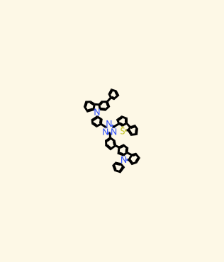 c1ccc(-c2ccc3c(c2)c2ccccc2n3-c2cccc(-c3nc(-c4cccc(-c5ccc6c7ccccc7n(-c7ccccc7)c6c5)c4)nc(-c4cccc5c4sc4ccccc45)n3)c2)cc1